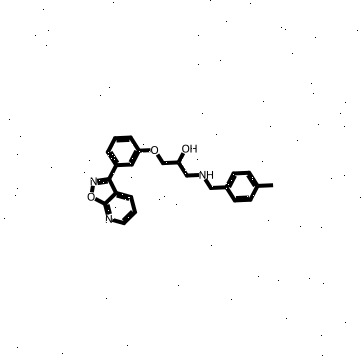 Cc1ccc(CNCC(O)COc2cccc(-c3noc4ncccc34)c2)cc1